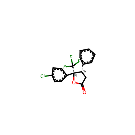 O=C1C[C@@H](c2ccccc2)[C@@](c2ccc(Cl)cc2)(C(F)(F)F)O1